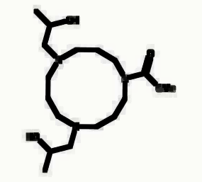 COC(=O)N1CCCN(CC(C)O)CCCN(CC(C)O)CCC1